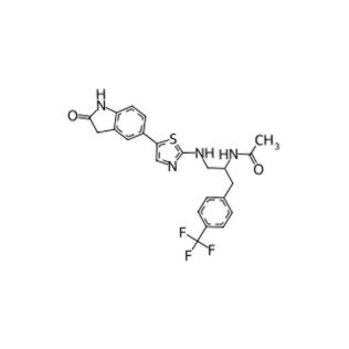 CC(=O)NC(CNc1ncc(-c2ccc3c(c2)CC(=O)N3)s1)Cc1ccc(C(F)(F)F)cc1